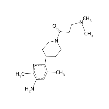 Cc1cc(C2CCN(C(=O)CCN(C)C)CC2)c(C)cc1N